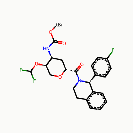 CC(C)(C)OC(=O)N[C@H]1C[C@H](C(=O)N2CCc3ccccc3[C@@H]2c2ccc(F)cc2)OC[C@H]1OC(F)F